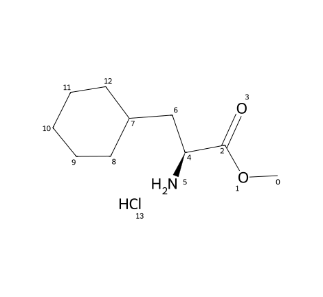 COC(=O)[C@@H](N)CC1CCCCC1.Cl